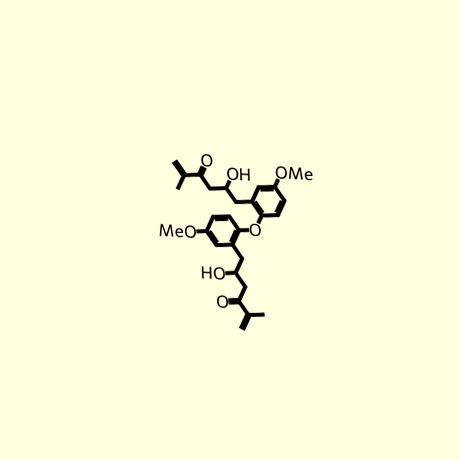 C=C(C)C(=O)CC(O)Cc1cc(OC)ccc1Oc1ccc(OC)cc1CC(O)CC(=O)C(=C)C